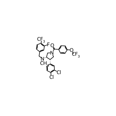 CN(Cc1ccc(C(F)(F)F)c(F)c1)[C@@H]1CN(C(=O)c2ccc(OC(F)(F)F)cc2)C[C@@H]1c1ccc(Cl)c(Cl)c1